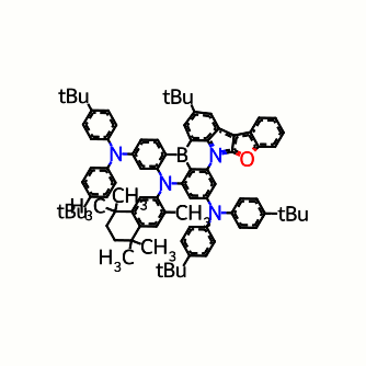 Cc1cc2c(cc1N1c3cc(N(c4ccc(C(C)(C)C)cc4)c4ccc(C(C)(C)C)cc4)ccc3B3c4c1cc(N(c1ccc(C(C)(C)C)cc1)c1ccc(C(C)(C)C)cc1)cc4-n1c4oc5ccccc5c4c4cc(C(C)(C)C)cc3c41)C(C)(C)CCC2(C)C